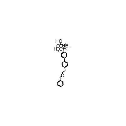 CC(C)(NC(=O)O)c1ccc(-c2ccc(CCOCc3ccccc3)cc2)cc1